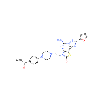 CNC(=O)c1ccc(N2CCN(CCn3c(=O)sc4c3nc(N)n3nc(-c5ccco5)nc43)CC2)cc1